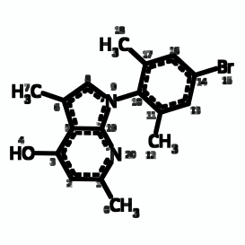 Cc1cc(O)c2c(C)cn(-c3c(C)cc(Br)cc3C)c2n1